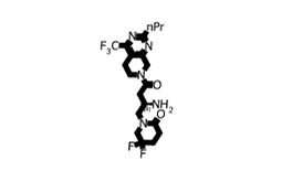 CCCc1nc2c(c(C(F)(F)F)n1)CCN(C(=O)C[C@@H](N)CN1CC(F)(F)CCC1=O)C2